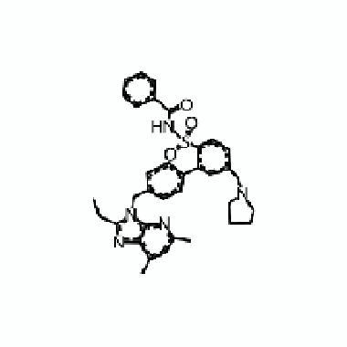 CCc1nc2c(C)cc(C)nc2n1Cc1ccc(-c2cc(CN3CCCC3)ccc2S(=O)(=O)NC(=O)c2ccccc2)cc1